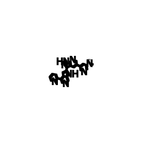 CN(C)c1cncc(-c2cnc3[nH]nc(-c4cc5c(-c6ccccn6)cncc5[nH]4)c3c2)c1